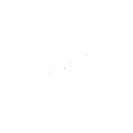 CN(C)c1ccc(NC=C(S(=O)(=O)c2ccccc2)S(=O)(=O)c2ccccc2)nc1